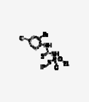 CCOP(=O)(NC(=S)Nc1ccc(Cl)cc1Br)SC(C)C